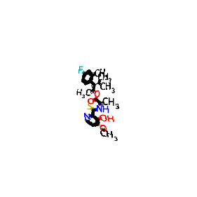 COc1ccnc(C(=S)N[C@@H](C)C(=O)O[C@@H](C)[C@H](c2ccc(F)cc2C)C(C)C)c1O